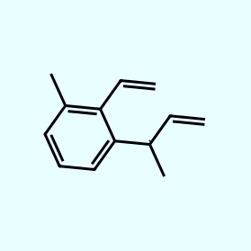 C=C[C](C)c1cccc(C)c1C=C